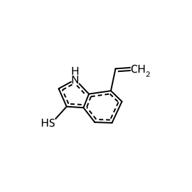 C=Cc1cccc2c(S)c[nH]c12